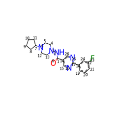 O=C(NN1CCN(C2CCCC2)CC1)c1cnc(-c2cccc(F)c2)nc1